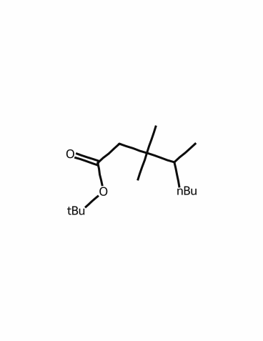 CCCCC(C)C(C)(C)CC(=O)OC(C)(C)C